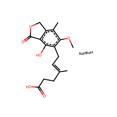 COc1c(C)c2c(c(O)c1C/C=C(\C)CCC(=O)O)C(=O)OC2.[NaH].[NaH]